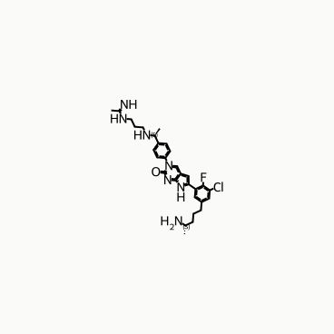 CC(=N)NCCCN[C@@H](C)c1ccc(-n2cc3cc(-c4cc(CCC[C@H](C)N)cc(Cl)c4F)[nH]c3nc2=O)cc1